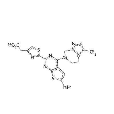 CCCc1cc2c(N3CCn4c(nnc4C(F)(F)F)C3)nc(-c3nc(CC(=O)O)cs3)nc2s1